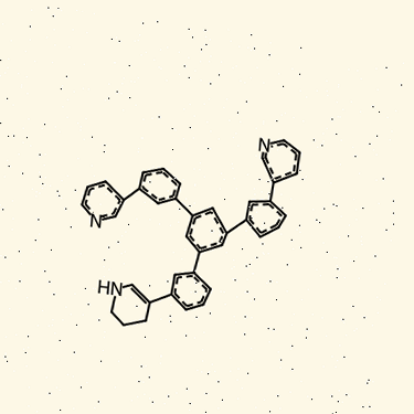 C1=C(c2cccc(-c3cc(-c4cccc(-c5cccnc5)c4)cc(-c4cccc(-c5cccnc5)c4)c3)c2)CCCN1